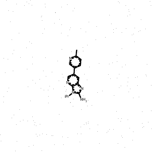 Cc1ccc(-c2cnc3c(c2)nc(N)n3C(C)C)cn1